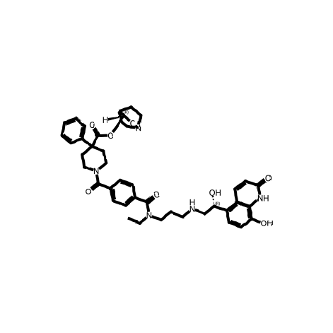 CCN(CCCNC[C@H](O)c1ccc(O)c2[nH]c(=O)ccc12)C(=O)c1ccc(C(=O)N2CCC(C(=O)O[C@H]3CN4CCC3CC4)(c3ccccc3)CC2)cc1